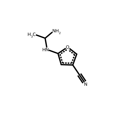 CC(N)Nc1cc(C#N)co1